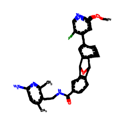 Cc1cc(N)nc(C)c1CNC(=O)c1ccc2c(c1)C1OC2c2ccc(-c3cc(OC(C)C)ncc3F)cc21